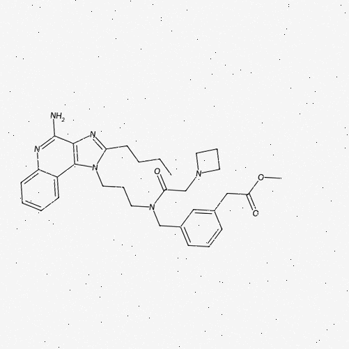 CCCCc1nc2c(N)nc3ccccc3c2n1CCCN(Cc1cccc(CC(=O)OC)c1)C(=O)CN1CCC1